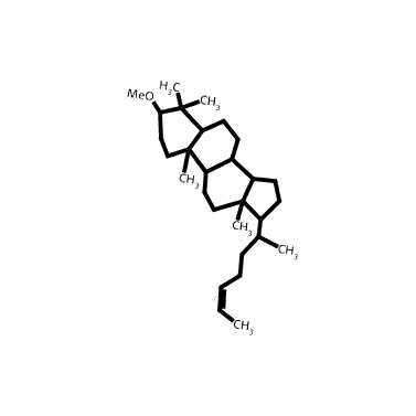 C/C=C\CCC(C)C1CCC2C3CCC4C(C)(C)C(OC)CCC4(C)C3CCC12C